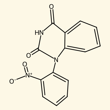 O=c1[nH]c(=O)n(-c2ccccc2[N+](=O)[O-])c2ccccc12